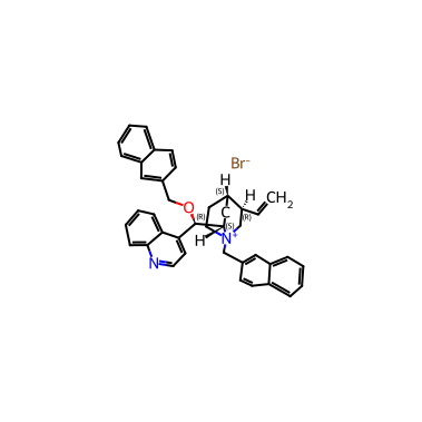 C=C[C@H]1C[N+]2(Cc3ccc4ccccc4c3)CC[C@H]1C[C@H]2[C@H](OCc1ccc2ccccc2c1)c1ccnc2ccccc12.[Br-]